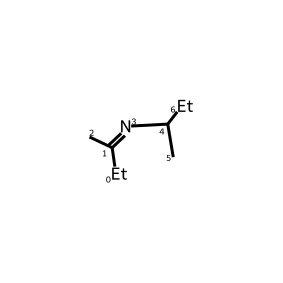 CC/C(C)=N\C(C)CC